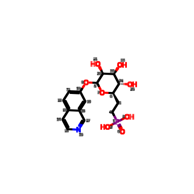 O=P(O)(O)CC[C@H]1OC(Oc2ccc3ccncc3c2)[C@@H](O)[C@@H](O)[C@@H]1O